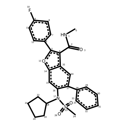 CNC(=O)c1c(-c2ccc(F)cc2)oc2cc(N(C3CCCC3)S(C)(=O)=O)c(-c3ccccc3)cc12